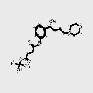 CCC(C)(C)OC(=O)CCC(=O)Nc1cccc([C@H](O)CCCN2CCOCC2)c1